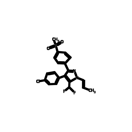 CC=Cn1nc(-c2ccc(S(C)(=O)=O)cc2)c(-c2ccc(Cl)cc2)c1C(F)F